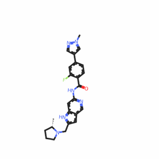 C[C@H]1CCCN1Cc1cc2cnc(NC(=O)c3ccc(-c4cnn(C)c4)cc3F)cc2[nH]1